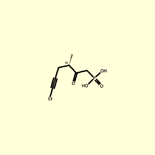 CCC#CC[C@H](C)C(=O)CP(=O)(O)O